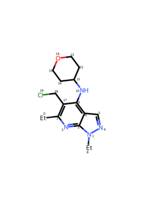 CCc1nc2c(cnn2CC)c(NC2CCOCC2)c1CCl